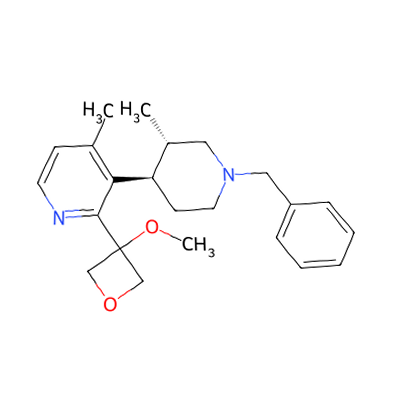 COC1(c2nccc(C)c2[C@@H]2CCN(Cc3ccccc3)C[C@H]2C)COC1